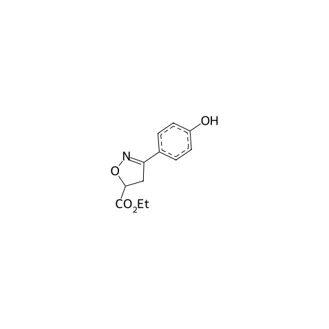 CCOC(=O)C1CC(c2ccc(O)cc2)=NO1